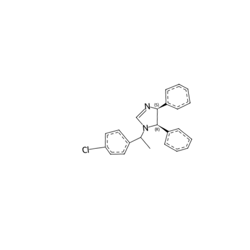 CC(c1ccc(Cl)cc1)N1C=N[C@@H](c2ccccc2)[C@H]1c1ccccc1